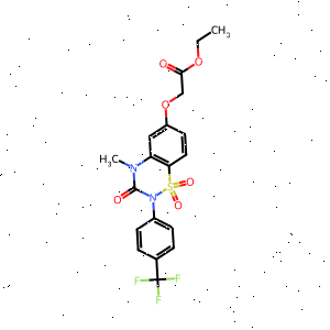 CCOC(=O)COc1ccc2c(c1)N(C)C(=O)N(c1ccc(C(F)(F)F)cc1)S2(=O)=O